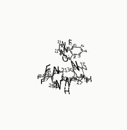 O=C(c1cccc(F)c1-n1nccn1)N1C[C@H]2CC(Nc3cnc(C(F)(F)F)cn3)C1C2